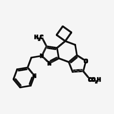 Cc1c2c(nn1Cc1ccccn1)-c1cc(C(=O)O)oc1CC21CCC1